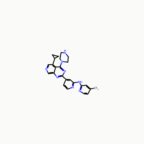 FC(F)(F)c1ccnc(Nc2cc(-c3nc(N4CCNCC4)c4c(C5CC5)cncc4n3)ccn2)c1